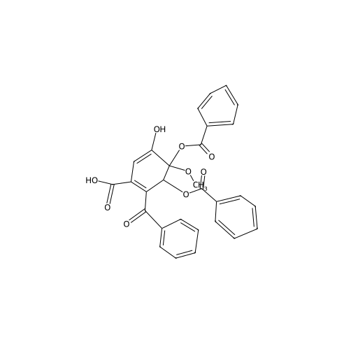 COC1(OC(=O)c2ccccc2)C(O)=CC(C(=O)O)=C(C(=O)c2ccccc2)C1OC(=O)c1ccccc1